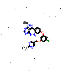 Cc1ncc(COc2cc(F)cc(Oc3ccc(-c4nn(C(C)(C)C)c5ncnc(N)c45)cc3)c2)cn1